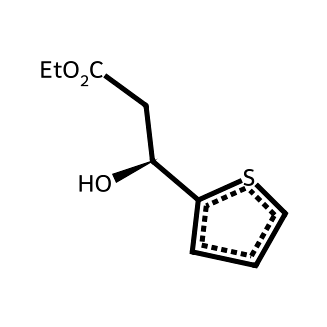 CCOC(=O)C[C@H](O)c1cccs1